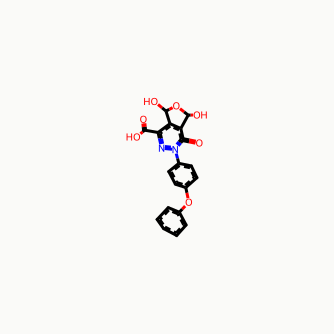 O=C(O)c1nn(-c2ccc(Oc3ccccc3)cc2)c(=O)c2c1C(O)OC2O